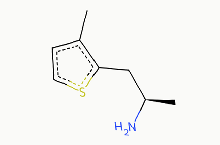 Cc1ccsc1C[C@@H](C)N